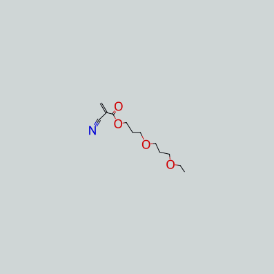 C=C(C#N)C(=O)OCCCOCCCOCC